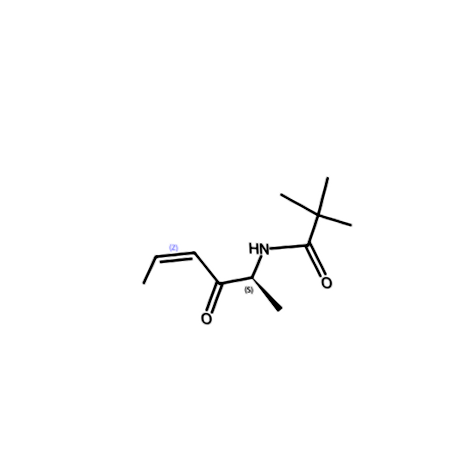 C/C=C\C(=O)[C@H](C)NC(=O)C(C)(C)C